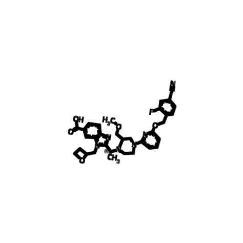 COCC1CN(c2cccc(OCc3ccc(C#N)cc3F)n2)CCN1[C@@H](C)c1nc2ccc(C(=O)O)cc2n1CC1CCO1